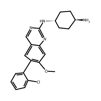 COc1cc2nc(N[C@H]3CC[C@H](N)CC3)ncc2cc1-c1ccccc1Cl